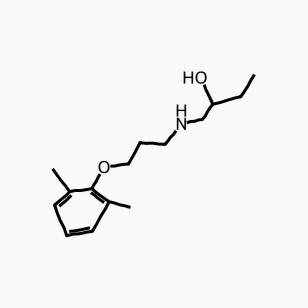 CCC(O)CNCCCOc1c(C)cccc1C